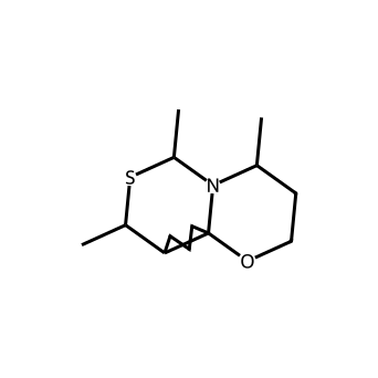 CC1SC(C)N2C(C)CCOC23CCCC13